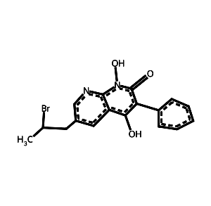 CC(Br)Cc1cnc2c(c1)c(O)c(-c1ccccc1)c(=O)n2O